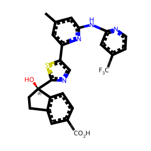 Cc1cc(Nc2cc(C(F)(F)F)ccn2)nc(-c2cnc([C@@]3(O)CCc4cc(C(=O)O)ccc43)s2)c1